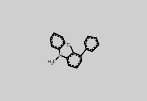 CN(c1ccccc1)c1cccc(-c2ccccc2)c1Cl